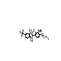 COc1ccc(-c2nc3cc(C(F)(F)F)ccc3[nH]2)c(C)c1N=S